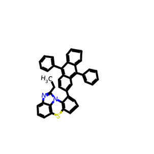 CCc1nc2cccc3c2n1-c1c(cccc1-c1ccc2c(-c4ccccc4)c4ccccc4c(-c4ccccc4)c2c1)S3